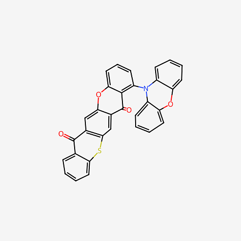 O=c1c2ccccc2sc2cc3c(=O)c4c(N5c6ccccc6Oc6ccccc65)cccc4oc3cc12